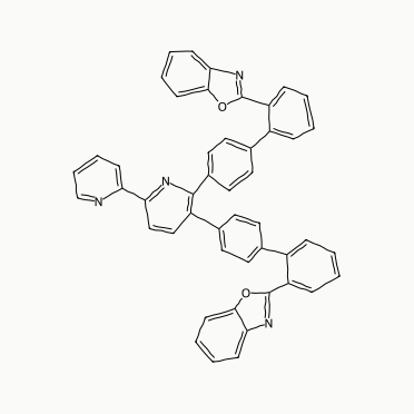 c1ccc(-c2ccc(-c3ccc(-c4ccccc4-c4nc5ccccc5o4)cc3)c(-c3ccc(-c4ccccc4-c4nc5ccccc5o4)cc3)n2)nc1